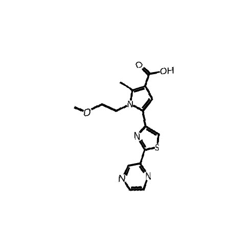 COCCn1c(-c2csc(-c3cnccn3)n2)cc(C(=O)O)c1C